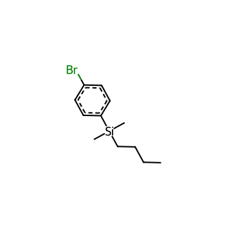 CCCC[Si](C)(C)c1ccc(Br)cc1